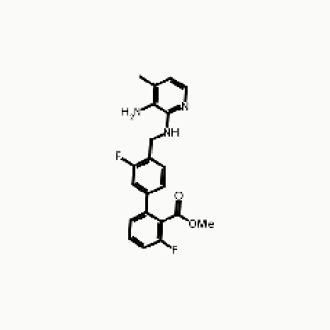 COC(=O)c1c(F)cccc1-c1ccc(CNc2nccc(C)c2N)c(F)c1